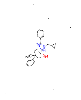 N#C[C@]1(c2ccccc2)CC[C@](O)(c2nc(-c3ccccc3)n(CC3CC3)n2)CC1